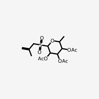 C=C(C)CS(=O)(=O)C1OC(C)C(OC(C)=O)C(OC(C)=O)C1OC(C)=O